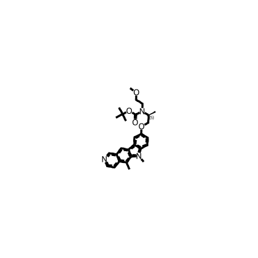 COCCN(C(=O)OC(C)(C)C)[C@@H](C)COc1ccc2c(c1)c1cc3cnccc3c(C)c1n2C